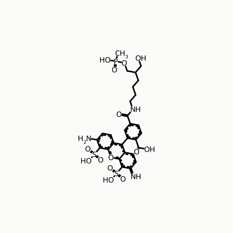 CP(=O)(O)OCC(CO)CCCCNC(=O)c1ccc(C(=O)O)c(-c2c3ccc(=N)c(S(=O)(=O)O)c-3oc3c(S(=O)(=O)O)c(N)ccc23)c1